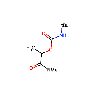 CNC(=O)C(C)OC(=O)NC(C)(C)C